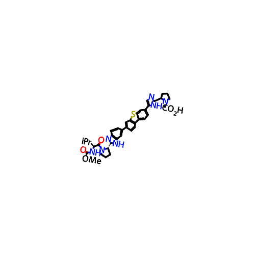 COC(=O)N[C@H](C(=O)N1CCC[C@H]1c1nc2ccc(-c3ccc4c(c3)sc3cc(-c5cnc(C6CCCN6C(=O)O)[nH]5)ccc34)cc2[nH]1)C(C)C